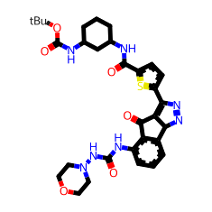 CC(C)(C)OC(=O)NC1CCCC(NC(=O)c2ccc(C3=C4C(=O)c5c(NC(=O)NN6CCOCC6)cccc5C4N=N3)s2)C1